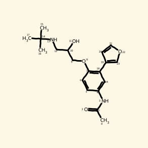 CC(=O)Nc1ccc(OCC(O)CNC(C)(C)C)c(-c2ccoc2)c1